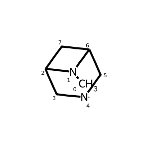 CN1C2C[N]CC1C2